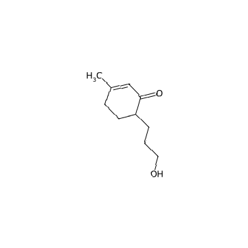 CC1=CC(=O)C(CCCO)CC1